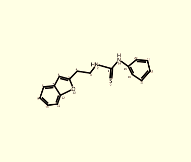 S=C(NCCc1cc2ccccc2o1)Nc1cc[c]cc1